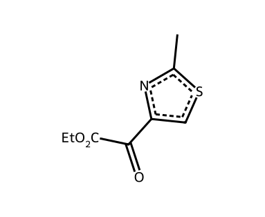 CCOC(=O)C(=O)c1csc(C)n1